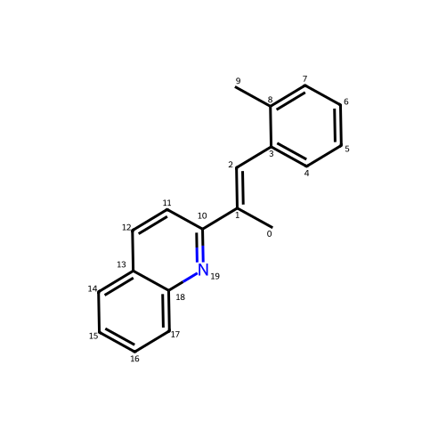 CC(=Cc1ccccc1C)c1ccc2ccccc2n1